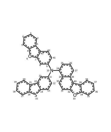 c1ccc2c(c1)oc1cc(N(c3ccc4sc5ccccc5c4c3)c3cccc4c3ccc3oc5ccccc5c34)ccc12